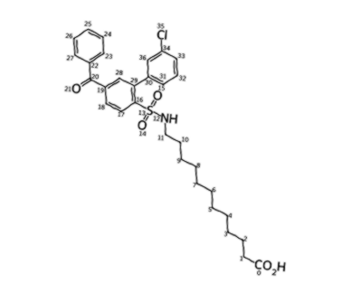 O=C(O)CCCCCCCCCCCNS(=O)(=O)c1ccc(C(=O)c2ccccc2)cc1-c1cccc(Cl)c1